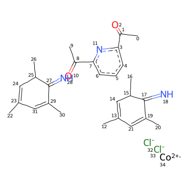 CC(=O)c1cccc(C(C)=O)n1.CC1=CC(C)C(=N)C(C)=C1.CC1=CC(C)C(=N)C(C)=C1.[Cl-].[Cl-].[Co+2]